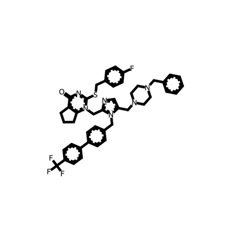 O=c1nc(SCc2ccc(F)cc2)n(Cc2ncc(CN3CCN(Cc4ccccc4)CC3)n2Cc2ccc(-c3ccc(C(F)(F)F)cc3)cc2)c2c1CCC2